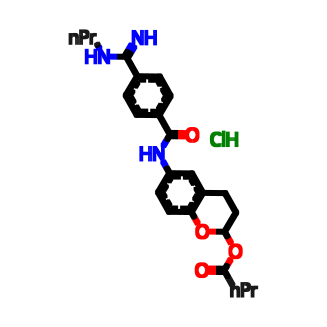 CCCNC(=N)c1ccc(C(=O)Nc2ccc3c(c2)CCC(OC(=O)CCC)O3)cc1.Cl